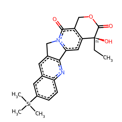 CC[C@@]1(O)C(=O)OCc2c1cc1n(c2=O)Cc2cc3cc([Si](C)(C)C)ccc3nc2-1